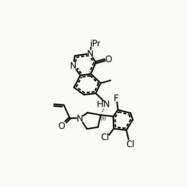 C=CC(=O)N1CC[C@](Nc2ccc3ncn(C(C)C)c(=O)c3c2C)(c2c(F)ccc(Cl)c2Cl)C1